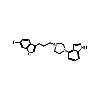 Fc1ccc2c(CCCN3CCN(c4cccc5[nH]ccc45)CC3)coc2c1